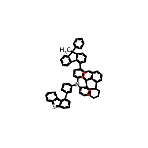 CC1(c2ccccc2)c2ccccc2-c2c(-c3ccc(N(c4cccc(-c5cccc6sc7ccccc7c56)c4)c4ccccc4-c4cccc5cccc(C6CCCCC6)c45)cc3)cccc21